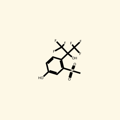 CS(=O)(=O)c1cc(O)ccc1C(O)(C(F)(F)F)C(F)(F)F